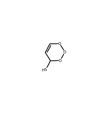 SC1C=COOO1